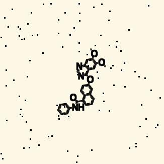 COc1cc2ncnc(Oc3ccc4c(C(=O)Nc5ccccc5)cccc4c3)c2cc1OC